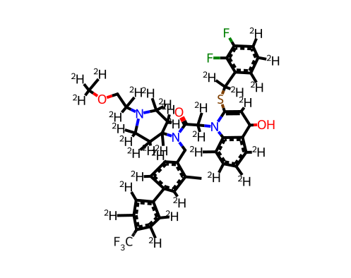 [2H]C1=C(SC([2H])([2H])c2c([2H])c([2H])c([2H])c(F)c2F)N(C([2H])([2H])C(=O)N(Cc2c([2H])c([2H])c(-c3c([2H])c([2H])c(C(F)(F)F)c([2H])c3[2H])c([2H])c2C)C2([2H])C([2H])([2H])C([2H])([2H])N(C([2H])([2H])COC([2H])([2H])[2H])C([2H])([2H])C2([2H])[2H])c2c([2H])c([2H])c([2H])c([2H])c2C1O